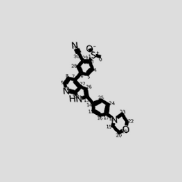 C[S+]([O-])c1ccc(-c2ccnc3[nH]c(-c4ccc(N5CCOCC5)cc4)cc23)cc1C#N